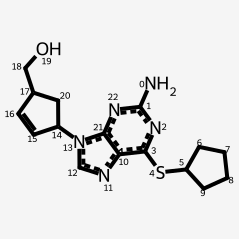 Nc1nc(SC2CCCC2)c2ncn(C3C=CC(CO)C3)c2n1